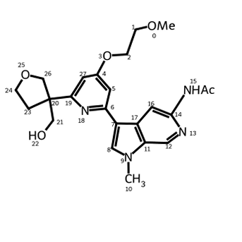 COCCOc1cc(-c2cn(C)c3cnc(NC(C)=O)cc23)nc(C2(CO)CCOC2)c1